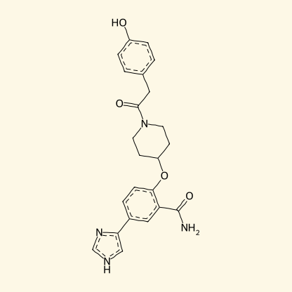 NC(=O)c1cc(-c2c[nH]cn2)ccc1OC1CCN(C(=O)Cc2ccc(O)cc2)CC1